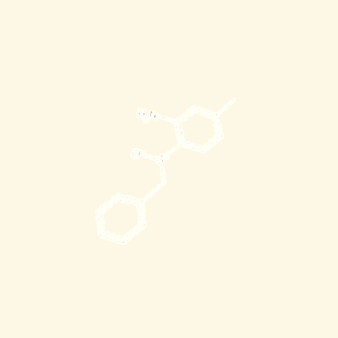 Cc1ccc([S+]([O-])Cc2ccccc2)c(N)c1